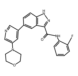 O=C(Nc1ccccc1F)c1n[nH]c2ccc(-c3cncc(N4CCOCC4)c3)cc12